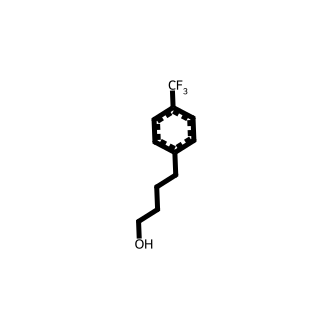 OCCCCc1ccc(C(F)(F)F)cc1